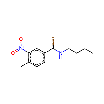 CCCCNC(=S)c1ccc(C)c([N+](=O)[O-])c1